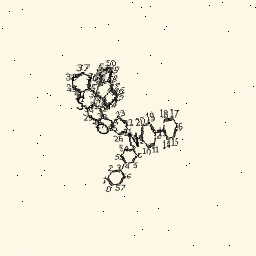 c1ccc(-c2ccc(N(c3ccc(-c4ccccc4)cc3)c3ccc4c(c3)oc3cc5c(cc34)C3(c4ccccc4S5)c4ccccc4-c4ccccc43)cc2)cc1